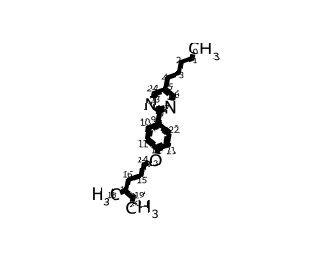 CCCCCc1cnc(-c2ccc(OCCCC(C)CC)cc2)nc1